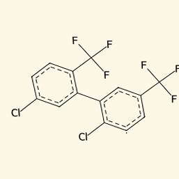 FC(F)(F)c1c[c]c(Cl)c(-c2cc(Cl)ccc2C(F)(F)F)c1